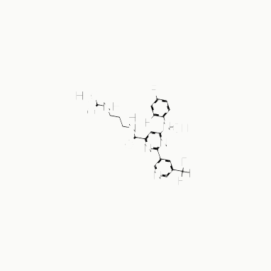 CC(=O)NCCCNC(=O)c1cc(N(C)c2ccc(F)cc2F)nc(-c2cncc(C(F)(F)F)c2)n1